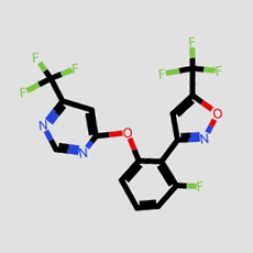 Fc1cccc(Oc2cc(C(F)(F)F)ncn2)c1-c1cc(C(F)(F)F)on1